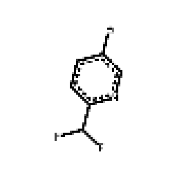 FC(F)c1ccc(Br)cn1